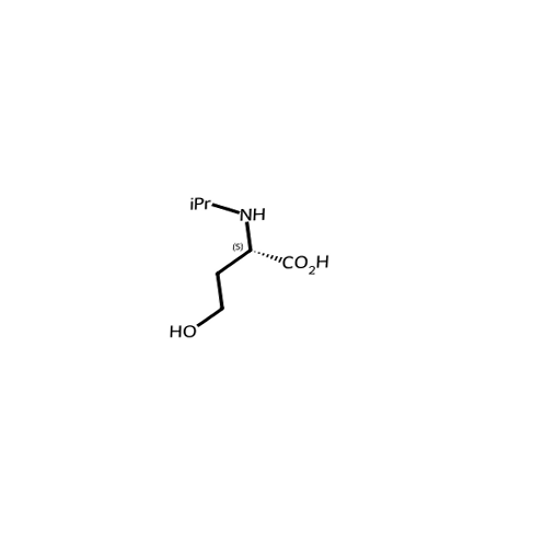 CC(C)N[C@@H](CCO)C(=O)O